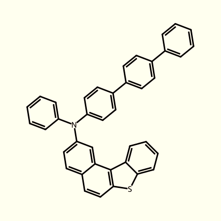 c1ccc(-c2ccc(-c3ccc(N(c4ccccc4)c4ccc5ccc6sc7ccccc7c6c5c4)cc3)cc2)cc1